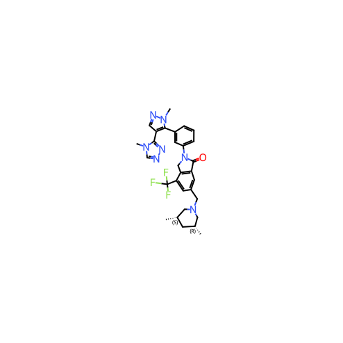 C[C@@H]1C[C@H](C)CN(Cc2cc3c(c(C(F)(F)F)c2)CN(c2cccc(-c4c(-c5nncn5C)cnn4C)c2)C3=O)C1